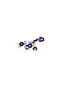 CN1C2CCC1CN(C/C=C/C(=O)Nc1cc3c(Nc4ccc(F)c(Cl)c4)ncnc3cc1O[C@H]1CCOC1)C2